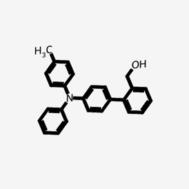 Cc1ccc(N(c2ccccc2)c2ccc(-c3ccccc3CO)cc2)cc1